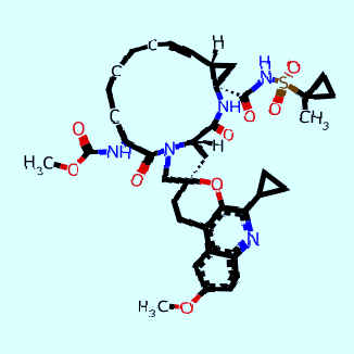 COC(=O)N[C@H]1CCCCC/C=C\[C@@H]2C[C@@]2(C(=O)NS(=O)(=O)C2(C)CC2)NC(=O)[C@@H]2C[C@]3(CCc4c(c(C5CC5)nc5ccc(OC)cc45)O3)CN2C1=O